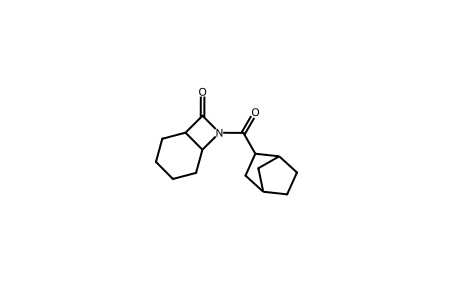 O=C(C1CC2CCC1C2)N1C(=O)C2CCCCC21